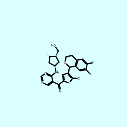 C[C@H]1C[C@H](Nc2ncncc2C(=O)c2cc(C3OCCc4cc(F)c(F)cc43)c(Cl)s2)C[C@@H]1CO